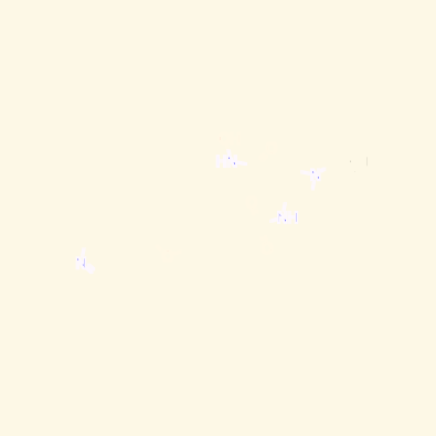 Cc1cc(COc2ccc(S(=O)(=O)NC3(CC(=O)NO)CN(C(=O)O)C3)cc2)c2ccccc2n1